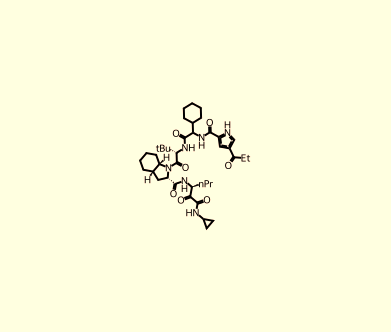 CCC[C@H](NC(=O)[C@@H]1C[C@@H]2CCCC[C@@H]2N1C(=O)[C@@H](NC(=O)C(NC(=O)c1cc(C(=O)CC)c[nH]1)C1CCCCC1)C(C)(C)C)C(=O)C(=O)NC1CC1